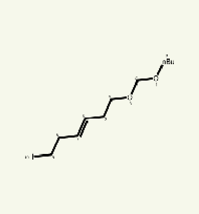 CCCCOCOCCC=CCCI